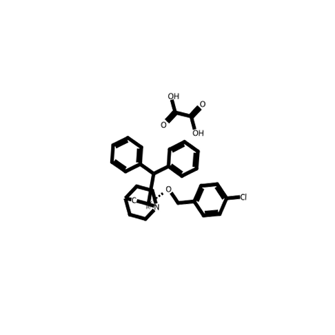 Clc1ccc(CO[C@@]2(C(c3ccccc3)c3ccccc3)CC3CCN2CC3)cc1.O=C(O)C(=O)O